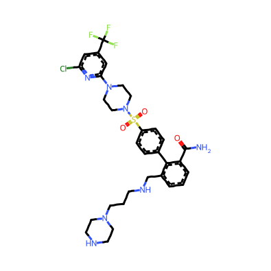 NC(=O)c1cccc(CNCCCN2CCNCC2)c1-c1ccc(S(=O)(=O)N2CCN(c3cc(C(F)(F)F)cc(Cl)n3)CC2)cc1